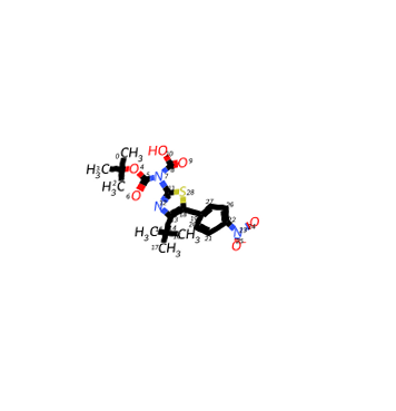 CC(C)(C)OC(=O)N(C(=O)O)c1nc(C(C)(C)C)c(-c2ccc([N+](=O)[O-])cc2)s1